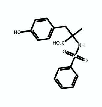 CC(Cc1ccc(O)cc1)(NS(=O)(=O)c1ccccc1)C(=O)O